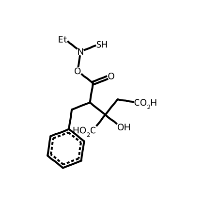 CCN(S)OC(=O)C(Cc1ccccc1)C(O)(CC(=O)O)C(=O)O